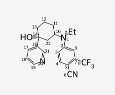 CCN(c1ccc(C#N)c(C(F)(F)F)c1)C1CCCC(O)(c2cccnc2)C1